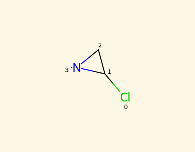 ClC1C[N]1